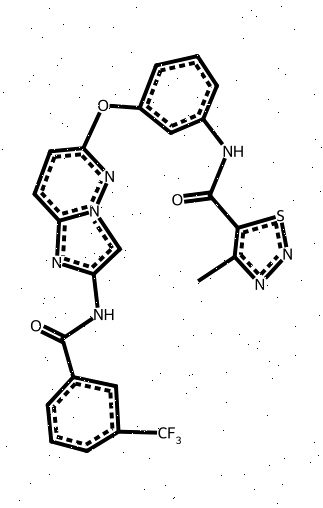 Cc1nnsc1C(=O)Nc1cccc(Oc2ccc3nc(NC(=O)c4cccc(C(F)(F)F)c4)cn3n2)c1